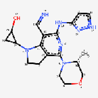 C[C@@H]1COCCN1c1nc(Nc2cc[nH]n2)c(C=N)c2c1CCN2C1CC1O